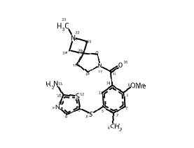 COc1cc(C)c(Sc2cnc(N)s2)cc1C(=O)N1CCC2(CN(C)C2)C1